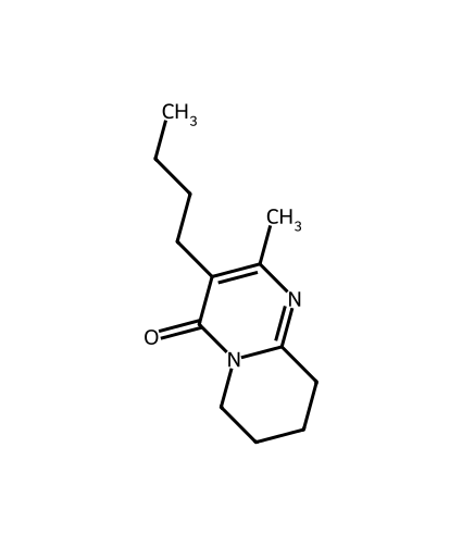 CCCCc1c(C)nc2n(c1=O)CCCC2